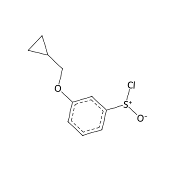 [O-][S+](Cl)c1cccc(OCC2CC2)c1